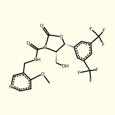 COc1ccncc1CNC(=O)N1C(=O)O[C@H](c2cc(C(F)(F)F)cc(C(F)(F)F)c2)[C@@H]1CO